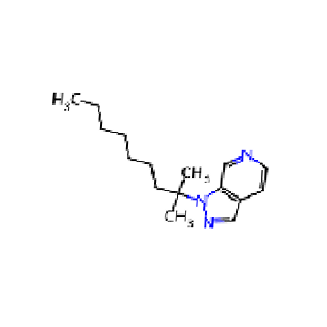 CCCCCCCC(C)(C)n1ncc2ccncc21